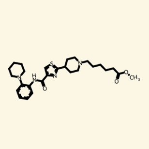 COC(=O)CCCCCN1CCC(c2nc(C(=O)Nc3ccccc3N3CCCCC3)cs2)CC1